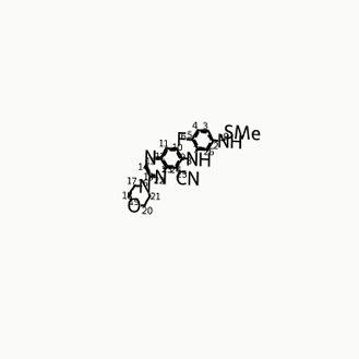 CSNc1ccc(F)c(Nc2ccc3ncc(N4CCOCC4)nc3c2C#N)c1